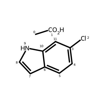 CC(=O)O.Clc1ccc2cc[nH]c2c1